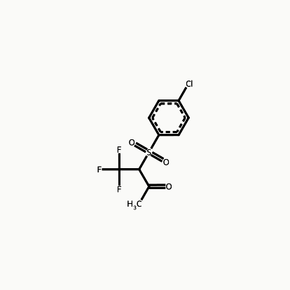 CC(=O)C(C(F)(F)F)S(=O)(=O)c1ccc(Cl)cc1